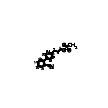 CS(=O)(=O)OCCCc1ccc(-c2ccccc2C#N)cn1